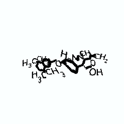 C=C/C=C(/[C@H](CC(=O)O)c1ccc(OCc2ccc3c(c2)C(C)(C)CCC3(C)C)cc1)N(C)N